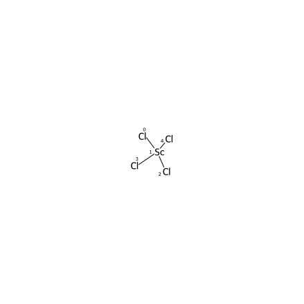 [Cl][Sc]([Cl])([Cl])[Cl]